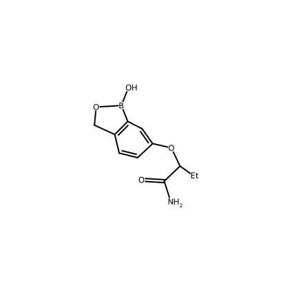 CCC(Oc1ccc2c(c1)B(O)OC2)C(N)=O